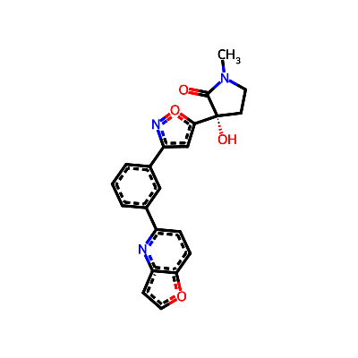 CN1CC[C@@](O)(c2cc(-c3cccc(-c4ccc5occc5n4)c3)no2)C1=O